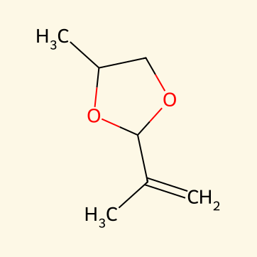 C=C(C)C1OCC(C)O1